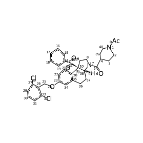 CC(=O)N1CCC(C(=O)N2CC[C@@]3(S(=O)(=O)c4ccccc4)c4ccc(OCc5c(Cl)cccc5Cl)cc4CC[C@@H]23)CC1